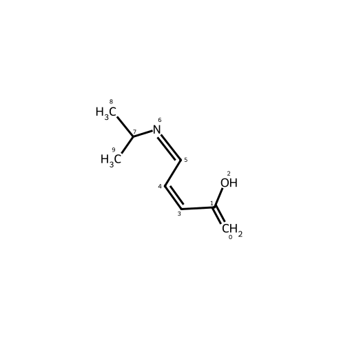 C=C(O)/C=C\C=N/C(C)C